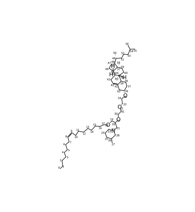 CCCCCCCC/C=C\CCCCCCCCOCC(CN1CCCC(C)C1)OCCOCCO[C@H]1CC[C@@]2(C)C(=CC[C@H]3[C@@H]4CC[C@H]([C@H](C)CCCC(C)C)[C@@]4(C)CC[C@@H]32)C1